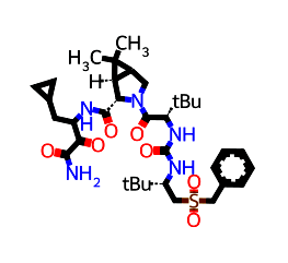 CC(C)(C)[C@H](NC(=O)N[C@H](CS(=O)(=O)Cc1ccccc1)C(C)(C)C)C(=O)N1CC2[C@@H]([C@H]1C(=O)NC(CC1CC1)C(=O)C(N)=O)C2(C)C